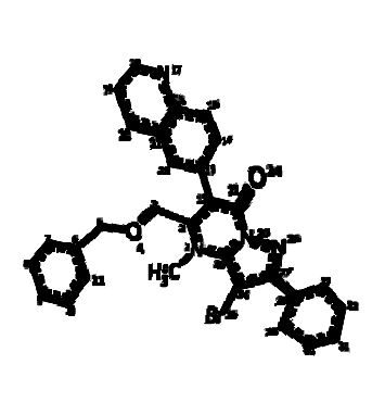 Cn1c(COCc2ccccc2)c(-c2ccc3ncccc3c2)c(=O)n2nc(-c3ccccc3)c(Br)c12